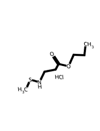 CCCOC(=O)CCNSC.Cl